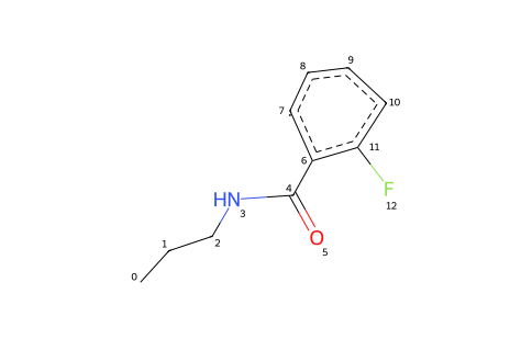 CCCNC(=O)c1[c]cccc1F